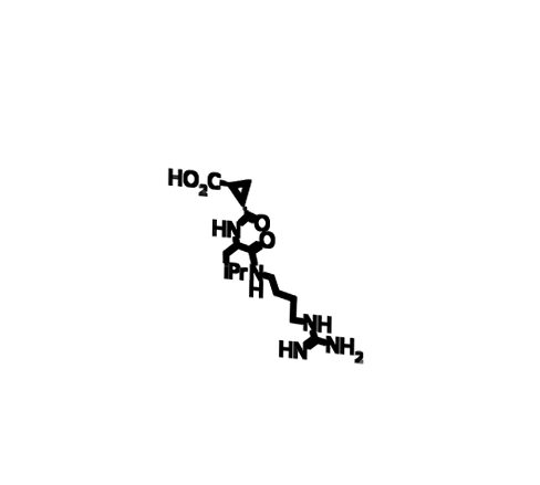 CC(C)CC(NC(=O)[C@H]1C[C@@H]1C(=O)O)C(=O)NCCCCNC(=N)N